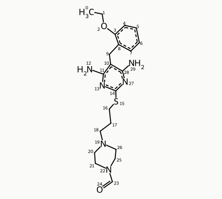 CCOc1ccccc1Cc1c(N)nc(SCCCN2CCN(C=O)CC2)nc1N